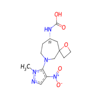 Cn1ncc([N+](=O)[O-])c1N1CC[C@H](NC(=O)O)CC2(CCO2)C1